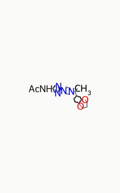 CC(=O)Nc1cnc(N2CCN(C(C)c3ccc4c(c3)OCCCO4)CC2)nc1